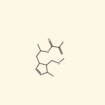 C=C(C)C(=O)OC(C)CC1C=CC(C)C1COC